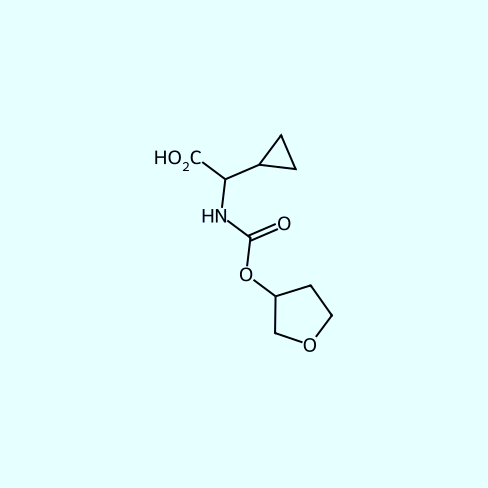 O=C(NC(C(=O)O)C1CC1)OC1CCOC1